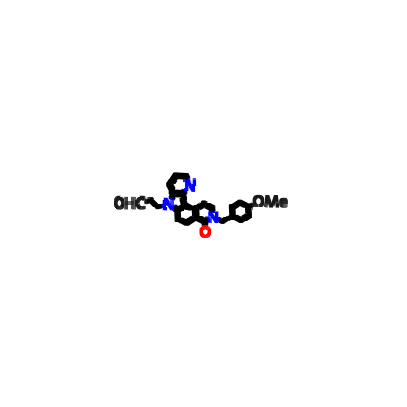 COc1ccc(Cn2ccc3c(ccc4c3c3ncccc3n4CCC=O)c2=O)cc1